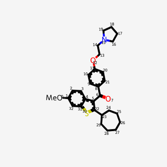 COc1ccc2c(C(=O)c3ccc(OCCN4CCCC4)cc3)c(C3CCCCCC3)sc2c1